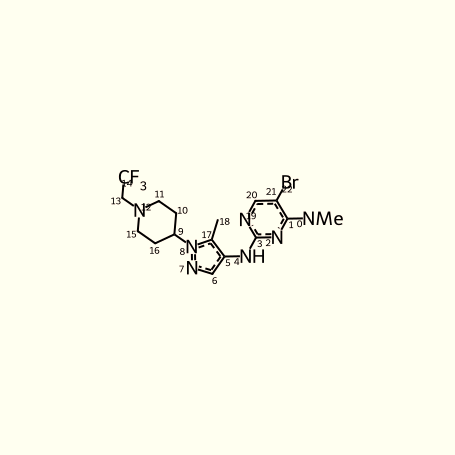 CNc1nc(Nc2cnn(C3CCN(CC(F)(F)F)CC3)c2C)ncc1Br